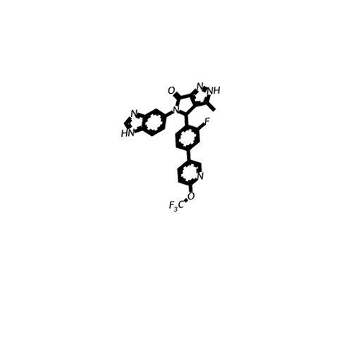 Cc1[nH]nc2c1C(c1ccc(-c3ccc(OC(F)(F)F)nc3)cc1F)N(c1ccc3[nH]cnc3c1)C2=O